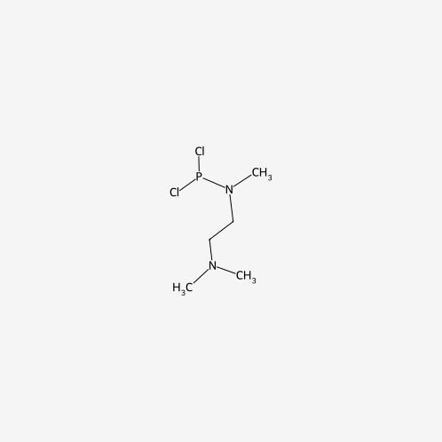 CN(C)CCN(C)P(Cl)Cl